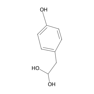 Oc1ccc(CC(O)O)cc1